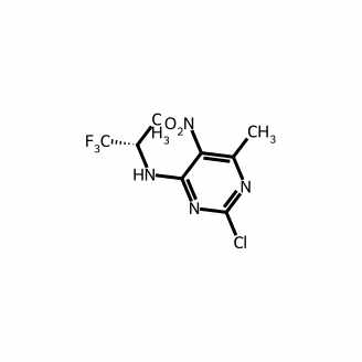 Cc1nc(Cl)nc(N[C@@H](C)C(F)(F)F)c1[N+](=O)[O-]